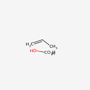 C=CC.O=C(O)O.[H]